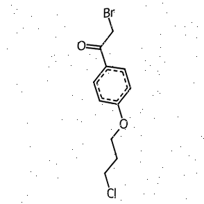 O=C(CBr)c1ccc(OCCCCl)cc1